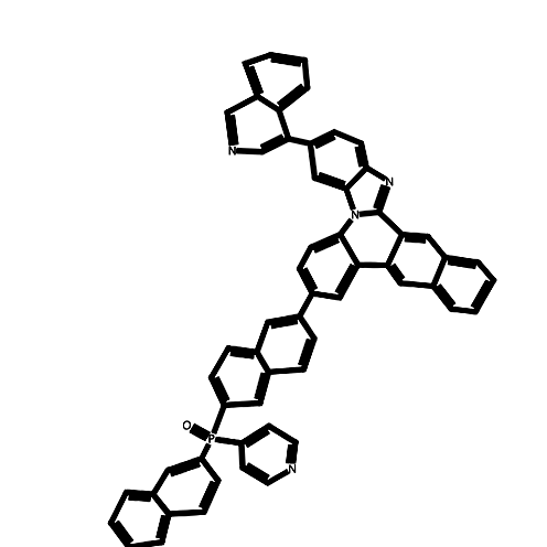 O=P(c1ccncc1)(c1ccc2ccccc2c1)c1ccc2cc(-c3ccc4c(c3)c3cc5ccccc5cc3c3nc5ccc(-c6cncc7ccccc67)cc5n43)ccc2c1